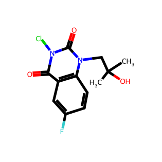 CC(C)(O)Cn1c(=O)n(Cl)c(=O)c2cc(F)ccc21